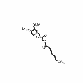 CC=CC=CC(=O)OCC(=O)NCc1ccc(OC)c(OC)c1